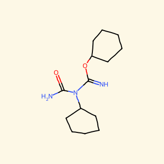 N=C(OC1CCCCC1)N(C(N)=O)C1CCCCC1